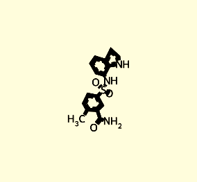 Cc1ccc(S(=O)(=O)Nc2cccc3cc[nH]c23)cc1C(N)=O